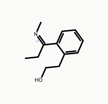 CC/C(=N/C)c1ccccc1CCO